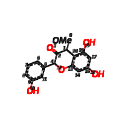 COC1C(=O)C(c2cccc(O)c2)Oc2cc(O)cc(O)c21